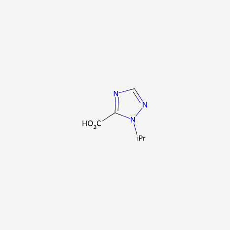 CC(C)n1ncnc1C(=O)O